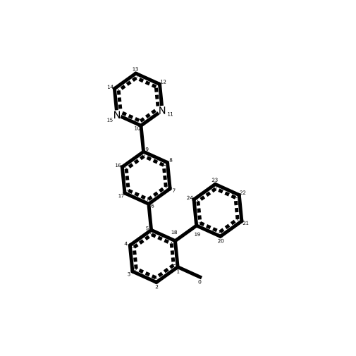 Cc1cccc(-c2ccc(-c3ncccn3)cc2)c1-c1ccccc1